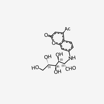 CC(=O)c1cc(=O)oc2cc(N[C@H](C=O)[C@H](O)[C@@H](O)[C@@H](O)CO)ccc12